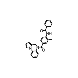 Cc1cc(C(=O)N2Cc3cccn3-c3ccccc32)ccc1NC(=O)c1ccccc1